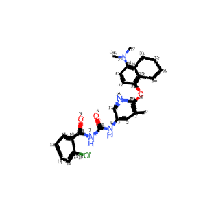 Cc1cc(NC(=O)NC(=O)c2ccccc2Cl)cnc1Oc1ccc(N(C)C)c2c1CCCC2